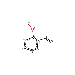 [CH]=Cc1ccccc1OC